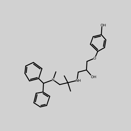 CN(CC(C)(C)NCC(O)COc1ccc(O)cc1)C(c1ccccc1)c1ccccc1